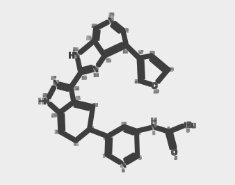 CC(C)(C)C(=O)Nc1cncc(C2C=c3c(-c4nc5c(-c6ccoc6)cncc5[nH]4)n[nH]c3=CC2)c1